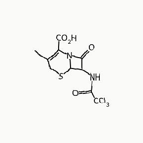 CC1=C(C(=O)O)N2C(=O)C(NC(=O)C(Cl)(Cl)Cl)C2SC1